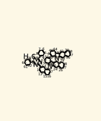 CN1C(c2ccccc2)=NC(c2ccc3cccc(-n4c5c(c6c4=CC4=CC=CCC4C=6N4c6cc7ccccc7cc6C6C=CC=CC64)C=CCC5)c3c2)=NC1C1=CCCC=C1